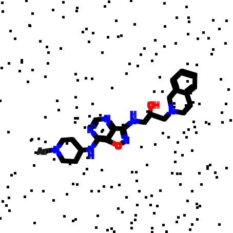 CC(=O)N1CCC(Nc2ncnc3c(NC[C@@H](O)CN4CCc5ccccc5C4)noc23)CC1